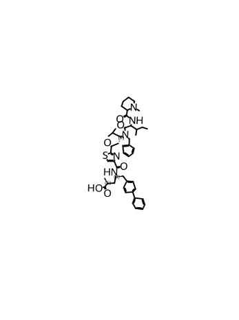 CCC(C)C(NC(=O)C1CCCCN1C)C(=O)N(Cc1ccccc1)[C@H](CC(=O)c1nc(C(=O)N[C@@H](Cc2ccc(-c3ccccc3)cc2)C[C@H](C)C(=O)O)cs1)C(C)C